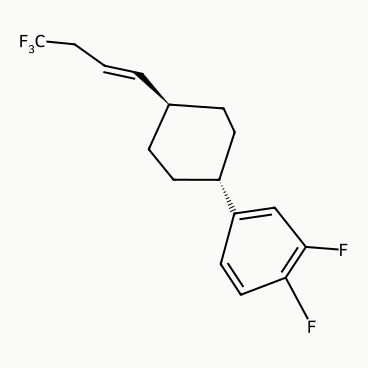 Fc1ccc([C@H]2CC[C@H](/C=C/CC(F)(F)F)CC2)cc1F